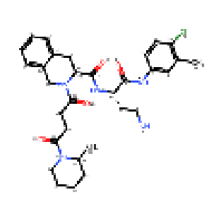 Cc1cc(NC(=O)[C@H](CCN)NC(=O)[C@@H]2Cc3ccccc3CN2C(=O)CCC(=O)N2CCCC[C@@H]2C)ccc1Cl